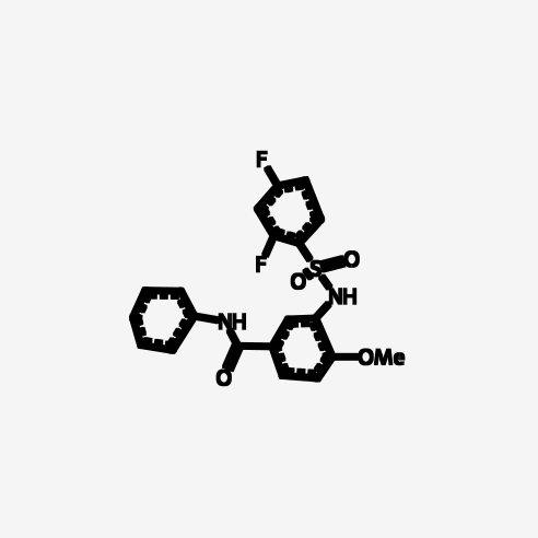 COc1ccc(C(=O)Nc2ccccc2)cc1NS(=O)(=O)c1ccc(F)cc1F